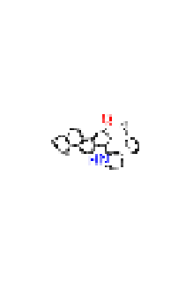 O=C(C1C=c2c(ccc3c2=CCc2ccccc2-3)C(C2=CC=CC=CN2)C1)C1CC1c1ccccc1